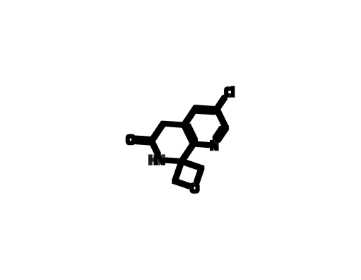 O=C1Cc2cc(Cl)cnc2C2(COC2)N1